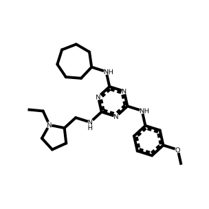 CCN1CCCC1CNc1nc(Nc2cccc(OC)c2)nc(NC2CCCCCC2)n1